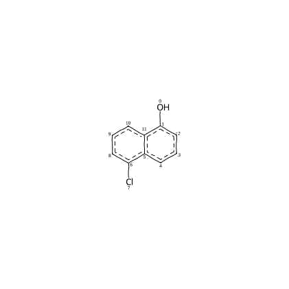 Oc1[c]ccc2c(Cl)cccc12